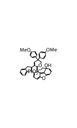 CCOC(=O)CC1(O)C=CC=c2oc3ccc4c5c(c6c(c4c3c21)OCC(c1ccc(OC)cc1)(c1ccc(OC)cc1)C=6)Cc1ccccc1-5